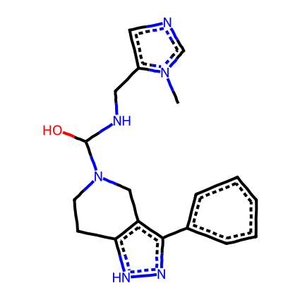 Cn1cncc1CNC(O)N1CCc2[nH]nc(-c3ccccc3)c2C1